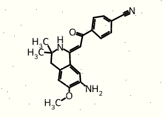 COc1cc2c(cc1N)/C(=C/C(=O)c1ccc(C#N)cc1)NC(C)(C)C2